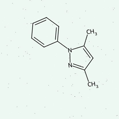 Cc1cc(C)n(-c2cc[c]cc2)n1